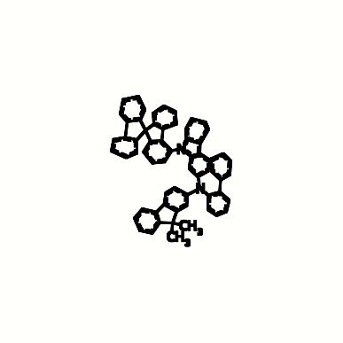 CC1(C)c2ccccc2-c2ccc(N(c3ccc4c5ccccc5n(-c5cccc6c5-c5ccccc5C65c6ccccc6-c6ccccc65)c4c3)c3ccccc3-c3ccccc3)cc21